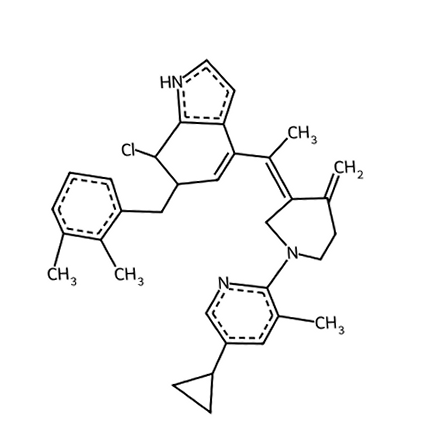 C=C1CCN(c2ncc(C3CC3)cc2C)C/C1=C(/C)C1=CC(Cc2cccc(C)c2C)C(Cl)c2[nH]ccc21